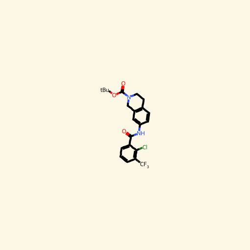 CC(C)(C)OC(=O)N1CCc2ccc(NC(=O)c3cccc(C(F)(F)F)c3Cl)cc2C1